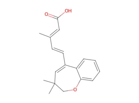 CC(=CC(=O)O)/C=C/C1=CC(C)(C)COc2ccccc21